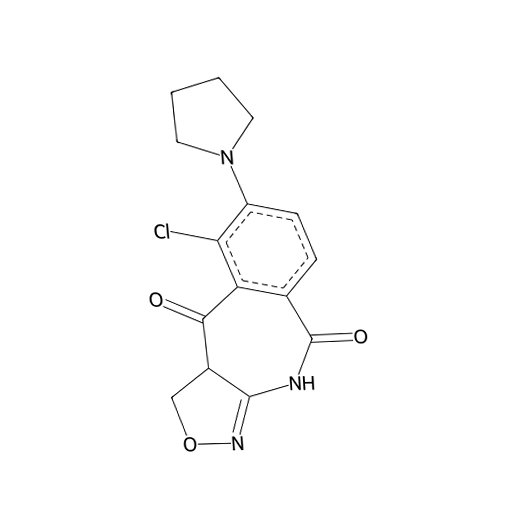 O=C1NC2=NOCC2C(=O)c2c1ccc(N1CCCC1)c2Cl